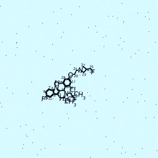 CC1Cc2c([nH]c3ccc(F)cc23)C(c2c(Cl)cc(OCCN3CC(CF)C3)cc2Cl)N1CC(C)(C)F